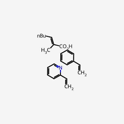 C=Cc1ccccc1.C=Cc1ccccn1.CCCCC=C(C)C(=O)O